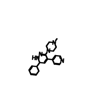 CN1CCN(C2=NNC(C3C=CC=CC3)C=C2c2ccncc2)CC1